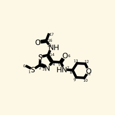 CSc1nc(C(=O)NC2CCOCC2)c(NC(C)=O)s1